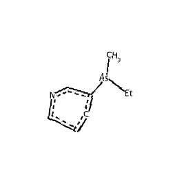 CC[As](C)c1cccnc1